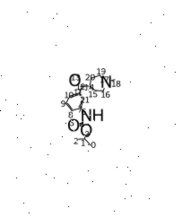 CC(C)OC(=O)Nc1cccc(C(=O)C2CCN(C)CC2)c1